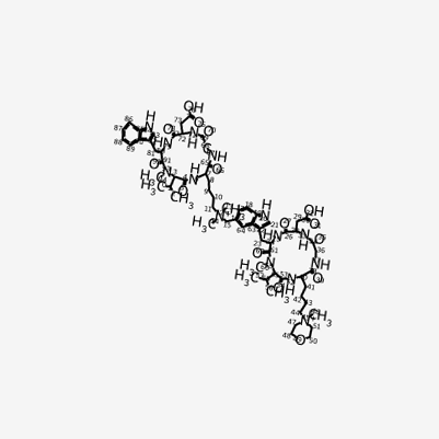 CC(C)C1C(=O)NC(CCCC[N+](C)(C)Cc2ccc3[nH]cc(CC4NC(=O)C(CC(=O)O)NC(=O)CNC(=O)C(CCCC[N+]5(C)CCOCC5)NC(=O)C(C(C)C)N(C)C4=O)c3c2)C(=O)NCC(=O)NC(CC(=O)O)C(=O)NC(Cc2c[nH]c3ccccc23)C(=O)N1C